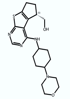 OC[C@H]1CCc2sc3ncnc(NC4CCC(N5CCOCC5)CC4)c3c21